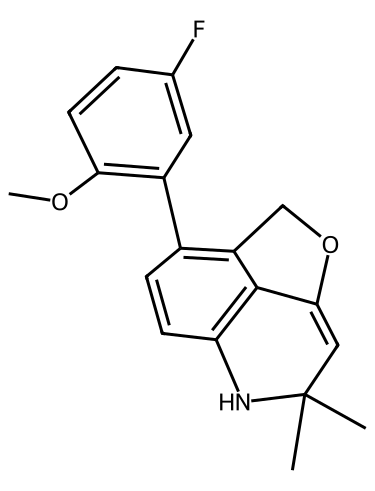 COc1ccc(F)cc1-c1ccc2c3c1COC3=CC(C)(C)N2